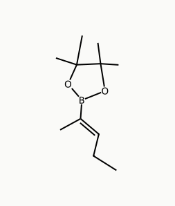 CCC=C(C)B1OC(C)(C)C(C)(C)O1